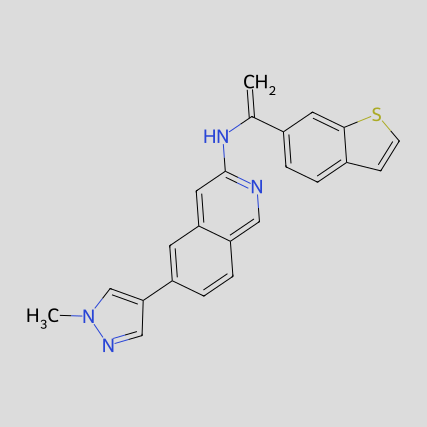 C=C(Nc1cc2cc(-c3cnn(C)c3)ccc2cn1)c1ccc2ccsc2c1